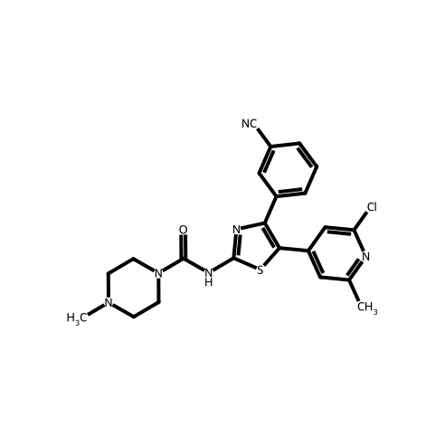 Cc1cc(-c2sc(NC(=O)N3CCN(C)CC3)nc2-c2cccc(C#N)c2)cc(Cl)n1